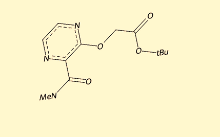 CNC(=O)c1nccnc1OCC(=O)OC(C)(C)C